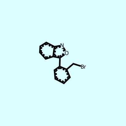 BrCc1ccccc1-c1onc2ccccc12